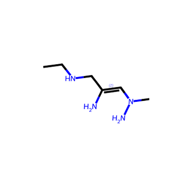 CCNC/C(N)=C/N(C)N